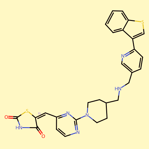 O=C1NC(=O)/C(=C\c2ccnc(N3CCC(CNCc4ccc(-c5csc6ccccc56)nc4)CC3)n2)S1